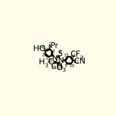 CC(C)c1cc(N2C(=S)N(c3ccc(C#N)c(C(F)(F)F)c3)C(=O)C2(C)C)ccc1O